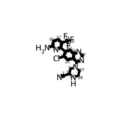 N#CC1CN(c2ncnc3cc(-c4nc(N)ccc4C(F)(F)F)c(Cl)cc23)CCN1